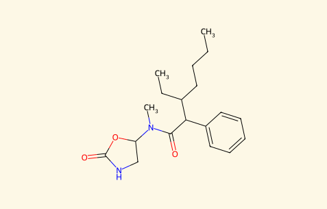 CCCCC(CC)C(C(=O)N(C)C1CNC(=O)O1)c1ccccc1